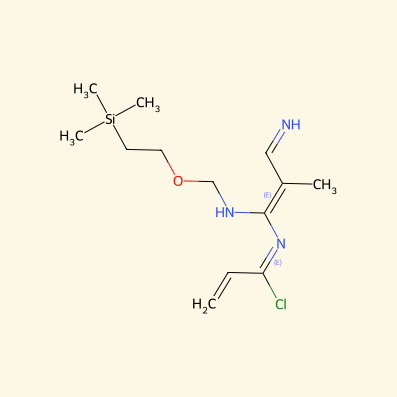 C=C/C(Cl)=N\C(NCOCC[Si](C)(C)C)=C(/C)C=N